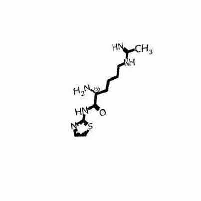 CC(=N)NCCCC[C@H](N)C(=O)Nc1nccs1